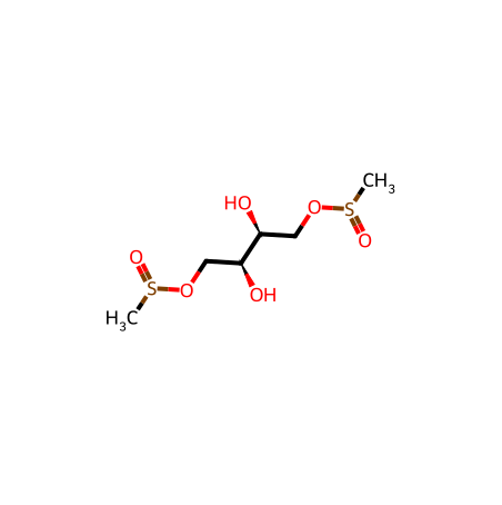 CS(=O)OC[C@H](O)[C@@H](O)COS(C)=O